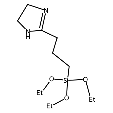 CCO[Si](CCCC1=NCCN1)(OCC)OCC